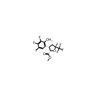 COC(=O)[C@H]1O[C@@](C)(C(F)(F)F)[C@@H](C)[C@H]1c1cc(I)c(F)c(F)c1O